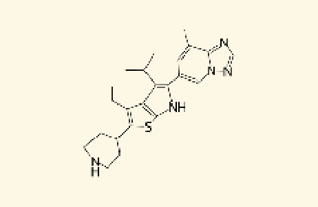 CCc1c(C2CCNCC2)sc2[nH]c(-c3cc(C)c4ncnn4c3)c(C(C)C)c12